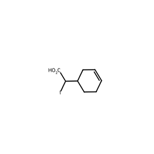 O=C(O)C(I)C1CC=CCC1